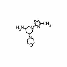 Cc1csc(N2CC(N)CC(N3CCOCC3)C2)n1